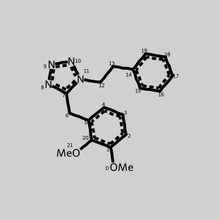 COc1cccc(Cc2nnnn2CCc2ccccc2)c1OC